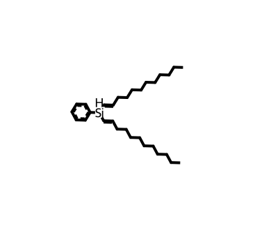 CCCCCCCCCCC=C[SiH](C=CCCCCCCCCCC)c1ccccc1